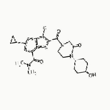 CN(C)C(=O)c1cc(C2CC2)cc2c(Cl)c(C(=O)N3CCN([C@H]4CC[C@H](O)CC4)C(=O)C3)nn12